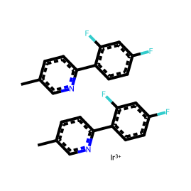 Cc1ccc(-c2ccc(F)cc2F)nc1.Cc1ccc(-c2ccc(F)cc2F)nc1.[Ir+3]